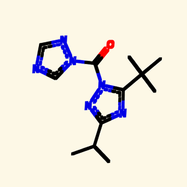 CC(C)c1nc(C(C)(C)C)n(C(=O)n2cncn2)n1